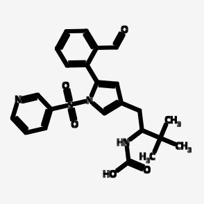 CC(C)(C)C(Cc1cc(-c2ccccc2C=O)n(S(=O)(=O)c2cccnc2)c1)NC(=O)O